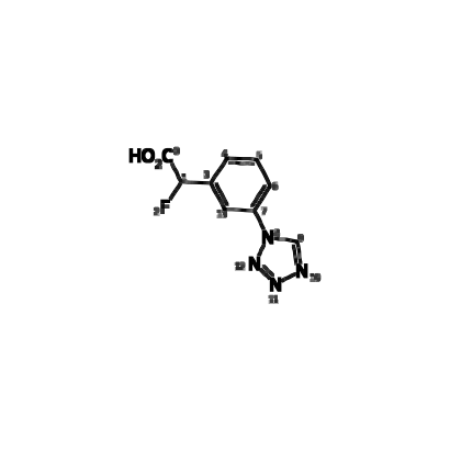 O=C(O)C(F)c1cccc(-n2cnnn2)c1